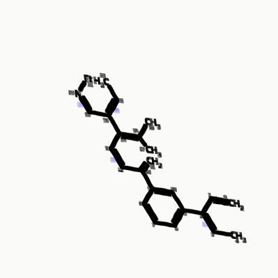 C=C/C(=C\C)c1cccc(C(=C)/C=C\C(=C(C)C)C(/C=N\CC)=C/C)c1